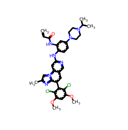 C=CC(=O)Nc1cc(N2CCN(C(C)C)CC2)ccc1Nc1cc2c(cn1)cc(-c1c(Cl)c(OC)cc(OC)c1Cl)c1nc(C)cn12